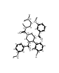 COc1cccc(C(=O)[C@H]2CN(C(=O)N(C)CCN(C)C)C[C@H](C(=O)c3cccc(OC)c3)C2c2cccc(F)c2C)c1